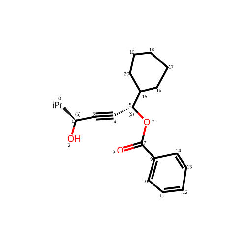 CC(C)[C@H](O)C#C[C@@H](OC(=O)c1ccccc1)C1CCCCC1